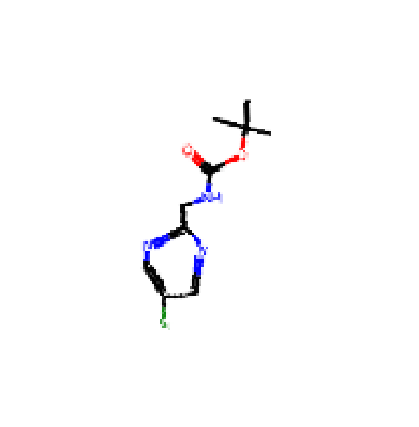 CC(C)(C)OC(=O)NCc1ncc(Br)cn1